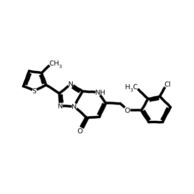 Cc1ccsc1-c1nc2[nH]c(COc3cccc(Cl)c3C)cc(=O)n2n1